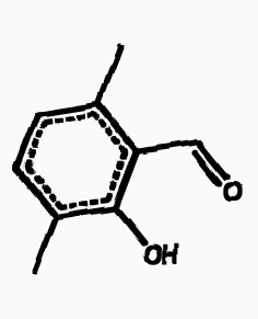 Cc1ccc(C)c(C=O)c1O